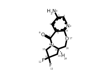 Nc1cnc2c(c1)C(=O)N1CC(F)(F)C[C@@H]1CO2